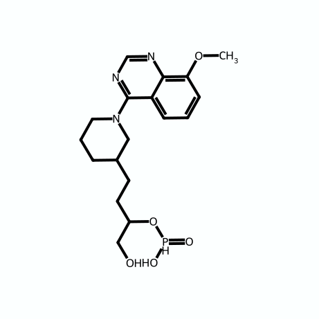 COc1cccc2c(N3CCCC(CCC(CO)O[PH](=O)O)C3)ncnc12